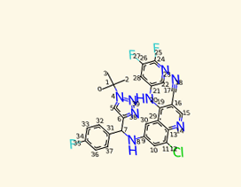 CC(C)(C)n1cc(C(Nc2cc(Cl)c3ncc(C#N)c(Nc4cnc(F)c(F)c4)c3c2)c2ccc(F)cc2)nn1